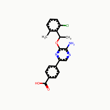 Cc1cccc(Cl)c1C(C)Oc1nc(-c2ccc(C(=O)O)cc2)cnc1N